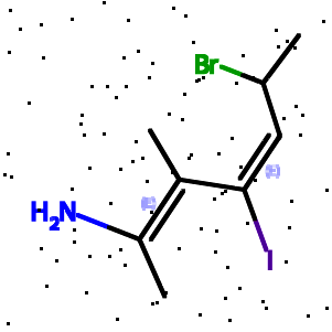 C/C(N)=C(C)\C(I)=C/C(C)Br